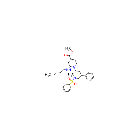 CCCCCN[C@H]1C[C@@H](C(=O)OC)CCN1CCC(CN(C)S(=O)(=O)c1ccccc1)c1ccccc1